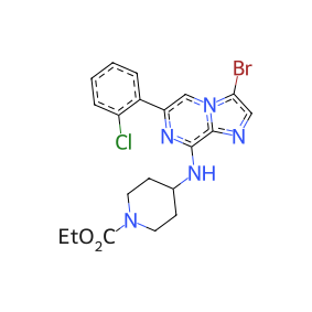 CCOC(=O)N1CCC(Nc2nc(-c3ccccc3Cl)cn3c(Br)cnc23)CC1